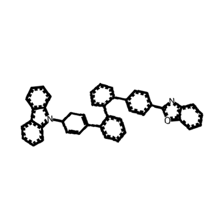 C1=CC(n2c3ccccc3c3ccccc32)CC=C1c1ccccc1-c1ccccc1-c1ccc(-c2nc3ccccc3o2)cc1